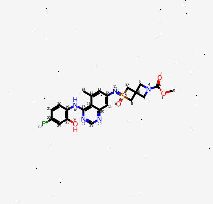 COC(=O)N1CC2(C1)CS(=O)(=Nc1cc(C)c3c(Nc4ccc(F)cc4O)ncnc3c1)C2